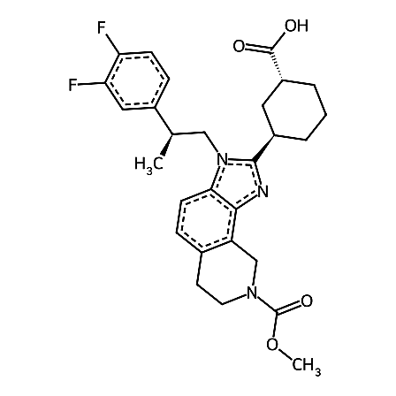 COC(=O)N1CCc2ccc3c(nc([C@@H]4CCC[C@@H](C(=O)O)C4)n3C[C@@H](C)c3ccc(F)c(F)c3)c2C1